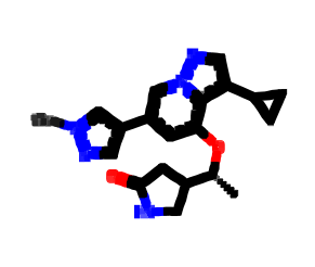 C[C@@H](Oc1cc(-c2cnn(C(C)(C)C)c2)cn2ncc(C3CC3)c12)C1CNC(=O)C1